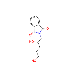 O=C1c2ccccc2C(=O)N1CC(O)CCCO